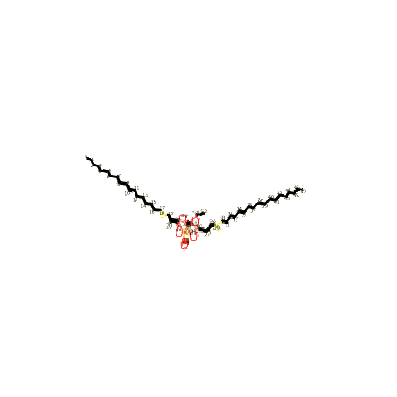 CCCCCCCCCCCCCCCCCCSCCCOP(=O)(OCCCSCCCCCCCCCCCCCCCCCC)C(=O)OCC